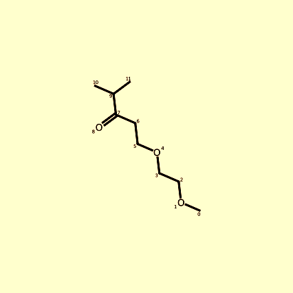 COCCOCCC(=O)C(C)C